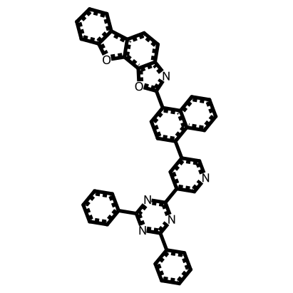 c1ccc(-c2nc(-c3ccccc3)nc(-c3cncc(-c4ccc(-c5nc6ccc7c8ccccc8oc7c6o5)c5ccccc45)c3)n2)cc1